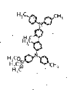 CO[Si](C)(OC)c1ccc(N(c2ccc(C)cc2)c2ccc(-c3ccc(N(c4ccc(C)cc4)c4ccc(C)cc4)cc3C)c(C)c2)cc1